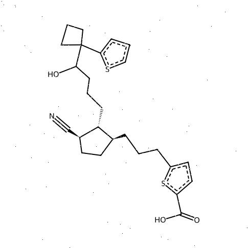 N#C[C@@H]1CC[C@H](CCCc2ccc(C(=O)O)s2)[C@H]1CCCC(O)C1(c2cccs2)CCC1